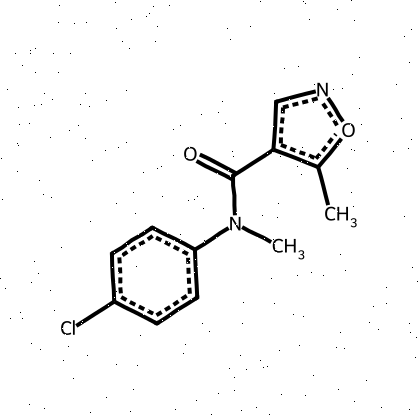 Cc1oncc1C(=O)N(C)c1ccc(Cl)cc1